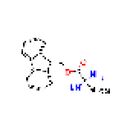 CCCCCCCC(N)(N)C(=O)OCC1c2ccccc2-c2ccccc21